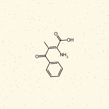 CC(C(=O)c1ccccc1)=C(N)C(=O)O